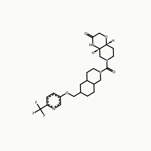 O=C1CO[C@@H]2CCN(C(=O)N3CCC4CC(COc5ccc(C(F)(F)F)nc5)CCC4C3)C[C@@H]2N1